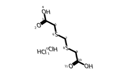 Cl.Cl.O=C(O)CSCSCC(=O)O